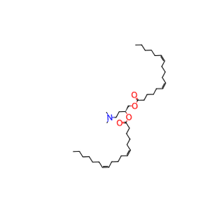 CCCCC/C=C\CCC/C=C\CCCCC(=O)OC[C@H](CCN(C)C)OC(=O)CCCC/C=C\CCC/C=C\CCCCCC